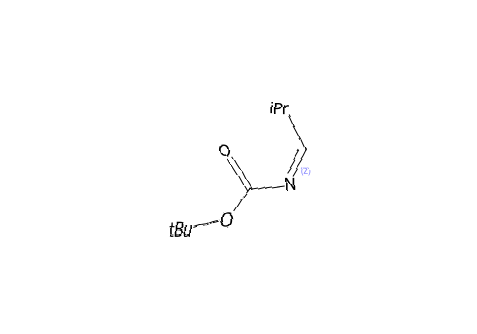 CC(C)/C=N\C(=O)OC(C)(C)C